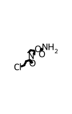 NC(=O)OC1CCN(C(=O)CCCl)C1